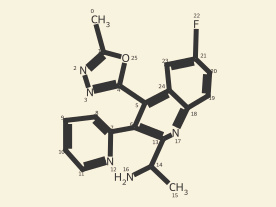 Cc1nnc(-c2c(-c3ccccn3)c(C(C)N)nc3ccc(F)cc23)o1